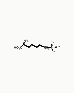 CC[N+](CC)(CC)CC.NCCCC[C@H](N)C(=O)O